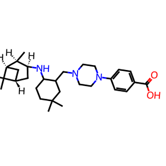 C[C@H]1[C@@H](NC2CCC(C)(C)CC2CN2CCN(c3ccc(C(=O)O)cc3)CC2)C[C@H]2C[C@H]1C2(C)C